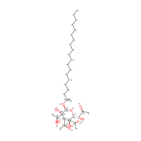 CCCCCCCCCCCCCCCCCC[SiH2]O[C@H]1O[C@H](C(O)C(C)=O)[C@](O)(C(C)=O)[C@@](O)(C(C)=O)[C@]1(O)C(C)=O